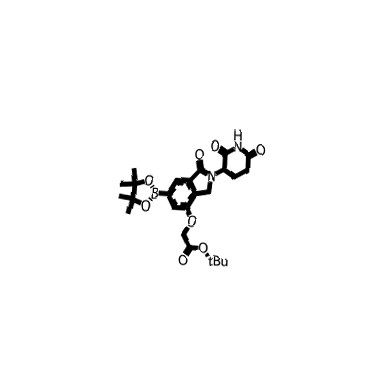 CC(C)(C)OC(=O)COc1cc(B2OC(C)(C)C(C)(C)O2)cc2c1CN(C1CCC(=O)NC1=O)C2=O